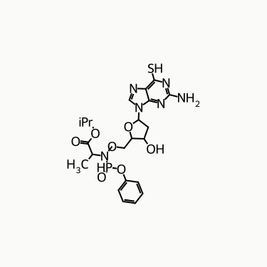 CC(C)OC(=O)C(C)N(OCC1OC(n2cnc3c(S)nc(N)nc32)CC1O)[PH](=O)Oc1ccccc1